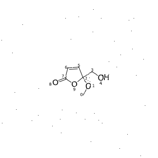 COC1(CO)C=CC(=O)O1